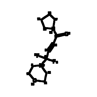 O=C(C#CC(F)(F)N1CCOCC1)N1CCCC1